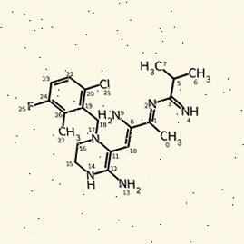 CC(=N\C(=N)C(C)C)/C(N)=C/C1=C(N)NCCN1Cc1c(Cl)ccc(F)c1C